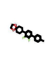 Cc1ccc(-c2ccc(C3CCC4(CC3)OCCO4)c(F)c2F)cc1